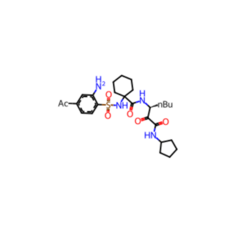 CCCC[C@H](NC(=O)C1(NS(=O)(=O)c2ccc(C(C)=O)cc2N)CCCCC1)C(=O)C(=O)NC1CCCC1